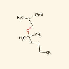 CCC[C@@H](C)C(C)COC(C)(C)CCCC(F)(F)F